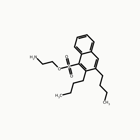 CCCCc1cc2ccccc2c(S(=O)(=O)OCCN)c1CCCC